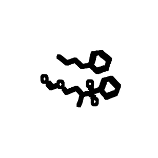 CC(CCOC=O)S(=O)(=O)c1ccccc1.CCCCc1ccccc1